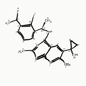 COc1nc2nc(C)nc(N[C@H](C)c3cccc(C(C)F)c3F)c2cc1C1(C#N)CC1